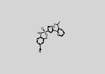 N#Cc1ccc(NS(=O)(=O)c2c[nH]c(-c3ncccc3C(F)F)c2)c(F)c1